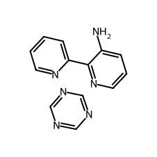 Nc1cccnc1-c1ccccn1.c1ncncn1